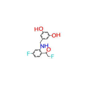 O=C(CF)c1ccc(F)cc1NCc1cc(O)cc(O)c1